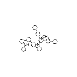 CN1C(c2ccc(C3C=CCCC3)cc2)CC(N2C3=C(C=CC(C4CCC[C@H](C5C=CCCC5NC5C=CC=CC5)C4)C3)C3CCCCC32)=CC1C1C=CC(C2CCCCC2)=CC1